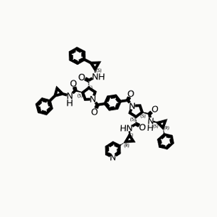 O=C(NC1CC1c1ccccc1)[C@@H]1CN(C(=O)c2ccc(C(=O)N3C[C@@H](C(=O)N[C@H]4C[C@@H]4c4ccccc4)[C@H](C(=O)N[C@H]4C[C@@H]4c4cccnc4)C3)cc2)C[C@H]1C(=O)N[C@H]1CC1c1ccccc1